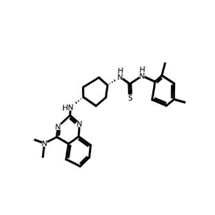 Cc1ccc(NC(=S)N[C@H]2CC[C@@H](Nc3nc(N(C)C)c4ccccc4n3)CC2)c(C)c1